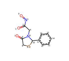 O=NC(=O)CN1C(=O)CSC1c1ccccc1